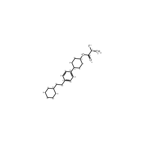 C[C@H](F)C(=O)OC1CCC(c2ccc(CCC3CC[CH]CC3)cc2)CC1